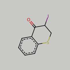 O=C1c2ccccc2SCC1I